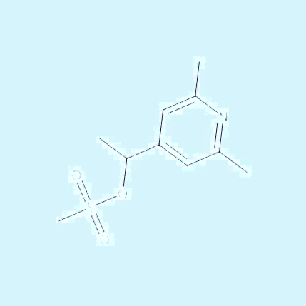 Cc1cc(C(C)OS(C)(=O)=O)cc(C)n1